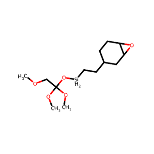 COCC(OC)(OC)O[SiH2]CCC1CCC2OC2C1